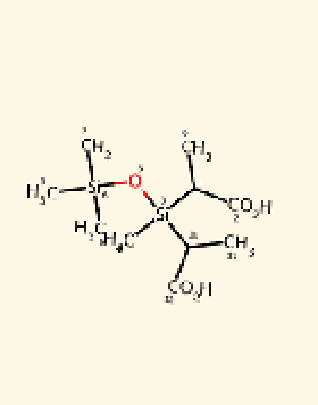 CC(C(=O)O)[Si](C)(O[Si](C)(C)C)C(C)C(=O)O